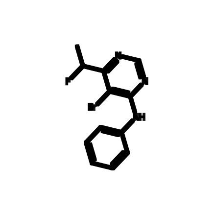 CC(F)c1ncnc(Nc2ccccc2)c1Br